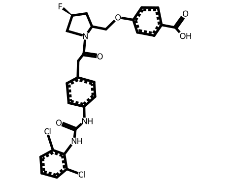 O=C(Nc1ccc(CC(=O)N2C[C@@H](F)CC2COc2ccc(C(=O)O)cc2)cc1)Nc1c(Cl)cccc1Cl